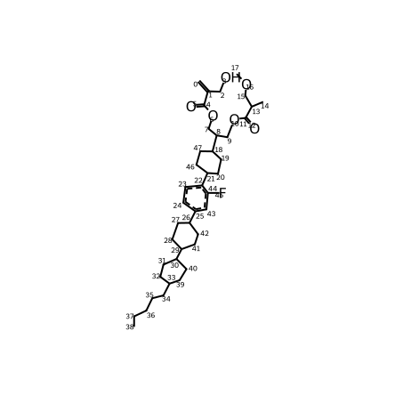 C=C(CO)C(=O)OCC(COC(=O)C(C)COC)C1CCC(c2ccc(C3CCC(C4CCC(CCCCC)CC4)CC3)cc2F)CC1